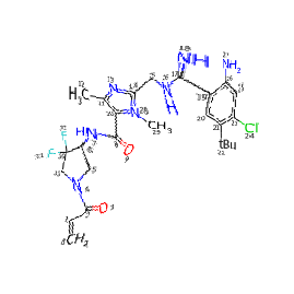 C=CC(=O)N1CC(NC(=O)c2c(C)nc(CNC(=N)c3cc(C(C)(C)C)c(Cl)cc3N)n2C)C(F)(F)C1